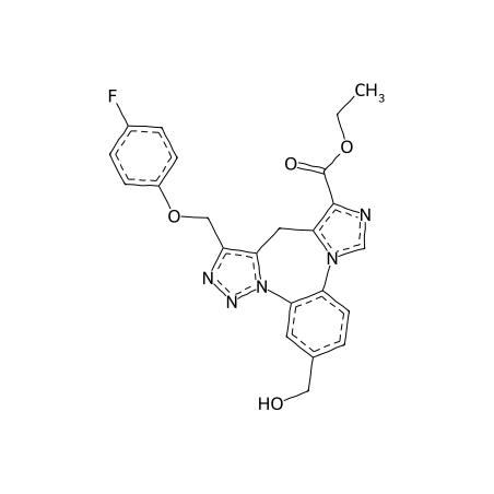 CCOC(=O)c1ncn2c1Cc1c(COc3ccc(F)cc3)nnn1-c1cc(CO)ccc1-2